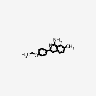 CCOc1ccc(-c2cc3ccc(C)cc3c(N)n2)cc1